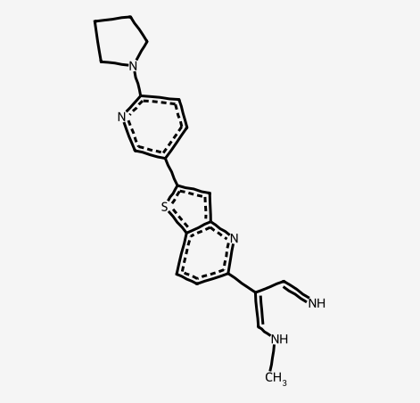 CN/C=C(\C=N)c1ccc2sc(-c3ccc(N4CCCC4)nc3)cc2n1